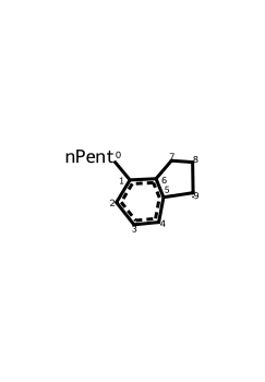 CCCCCc1cccc2c1CC[CH]2